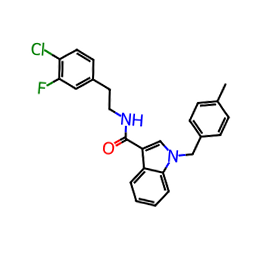 Cc1ccc(Cn2cc(C(=O)NCCc3ccc(Cl)c(F)c3)c3ccccc32)cc1